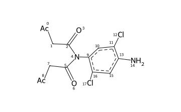 CC(=O)CC(=O)N(C(=O)CC(C)=O)c1cc(Cl)c(N)cc1Cl